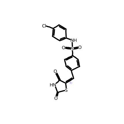 O=C1NC(=O)/C(=C\c2ccc(S(=O)(=O)Nc3ccc(Cl)cc3)cc2)S1